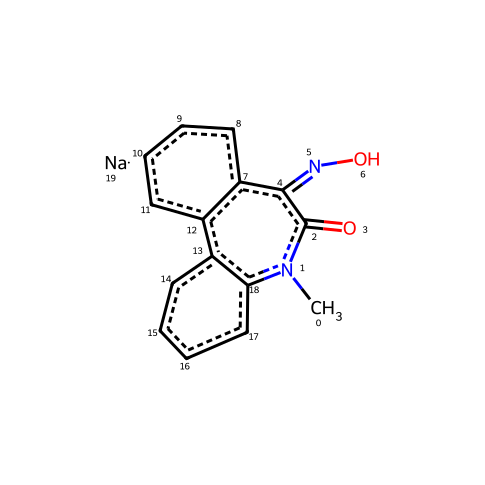 Cn1c(=O)c(=NO)c2ccccc2c2ccccc21.[Na]